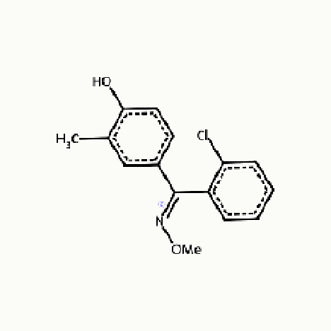 CO/N=C(/c1ccc(O)c(C)c1)c1ccccc1Cl